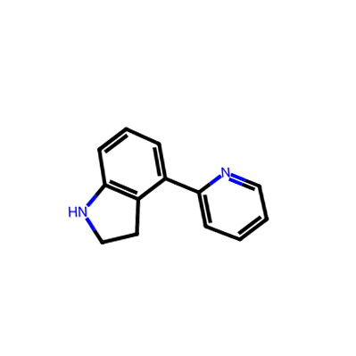 c1ccc(-c2cccc3c2CCN3)nc1